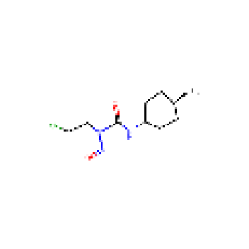 C[C@H]1CC[C@H](NC(=O)N(CCCl)N=O)CC1